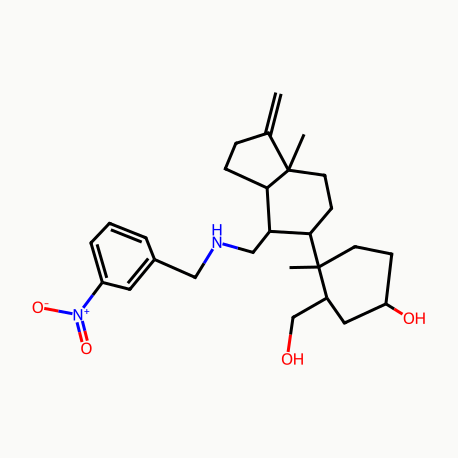 C=C1CCC2C(CNCc3cccc([N+](=O)[O-])c3)C(C3(C)CCC(O)CC3CO)CCC12C